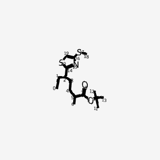 CCC(CCC(C)C(=O)OC(C)(C)C)c1nc(SC)cs1